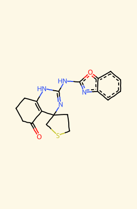 O=C1CCCC2=C1C1(CCSC1)N=C(Nc1nc3ccccc3o1)N2